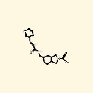 O=C(NCc1cccnc1)NCC1CCC2CN(C(=O)O)CC2C1